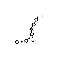 Cc1ccc(-c2ccc(-c3nc(-c4ccc(CN(CC(=O)O)C(=O)c5ccc(NC(=O)Cc6ccccc6)cc5)cc4)no3)cc2)cc1